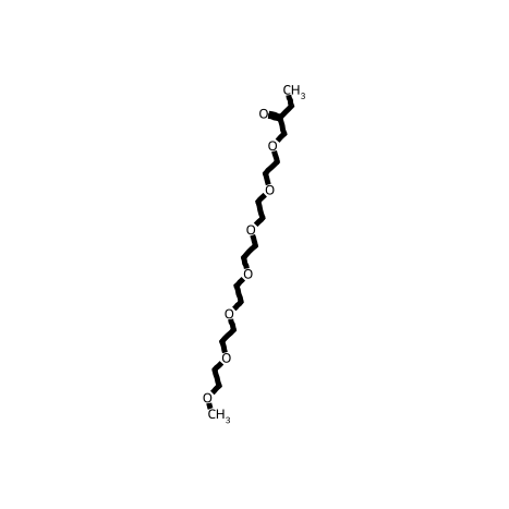 CCC(=O)COCCOCCOCCOCCOCCOCCOC